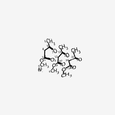 COC(=O)CC(C)=O.COC(=O)CC(C)=O.COC(=O)CC(C)=O.[Al]